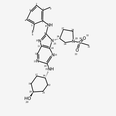 Cc1cccc(F)c1Nc1nc2cnc(N[C@H]3CC[C@H](O)CC3)nc2n1[C@@H]1CCN(S(C)(=O)=O)C1